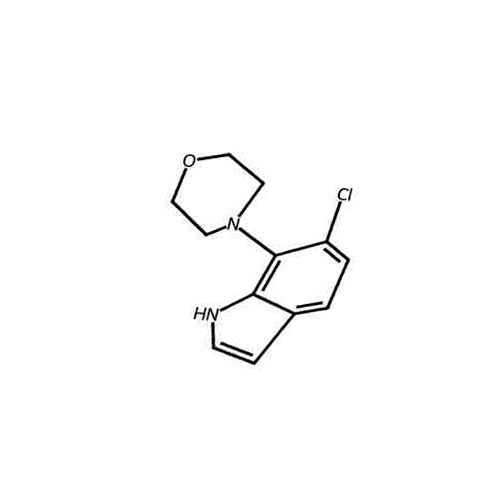 Clc1ccc2cc[nH]c2c1N1CCOCC1